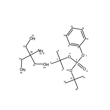 CC(C)(C)OP(=O)(Oc1ccccc1)OC(C)(C)C.NC(CO)(CO)CO